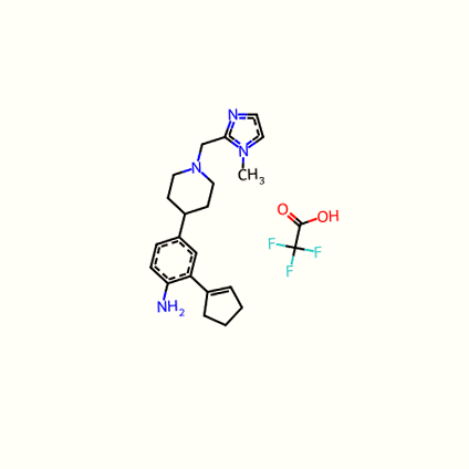 Cn1ccnc1CN1CCC(c2ccc(N)c(C3=CCCC3)c2)CC1.O=C(O)C(F)(F)F